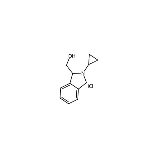 Cl.OCC1c2ccccc2CN1C1CC1